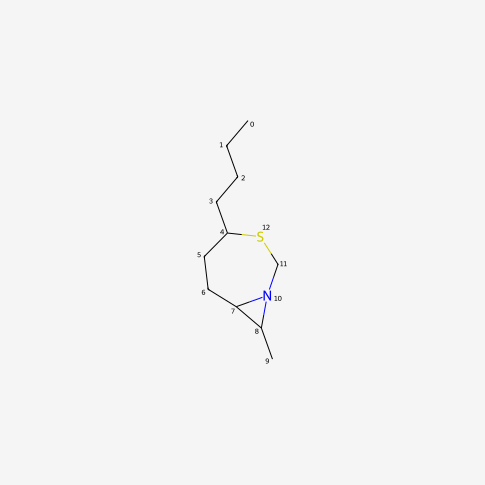 CCCCC1CCC2C(C)N2CS1